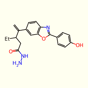 C=C(c1ccc2nc(-c3ccc(O)cc3)oc2c1)C(CC)CC(=O)NN